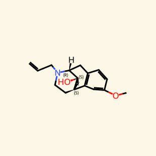 C=CCN1CC[C@]23CCCC[C@@]2(O)[C@H]1Cc1ccc(OC)cc13